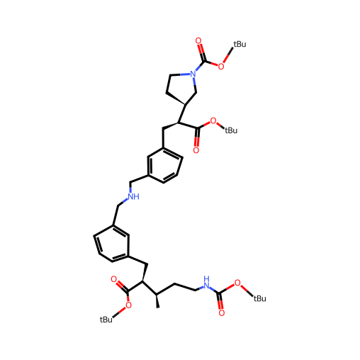 C[C@H](CCNC(=O)OC(C)(C)C)[C@H](Cc1cccc(CNCc2cccc(C[C@H](C(=O)OC(C)(C)C)[C@H]3CCN(C(=O)OC(C)(C)C)C3)c2)c1)C(=O)OC(C)(C)C